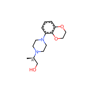 C[C@H](CO)N1CCN(c2cccc3c2OCCO3)CC1